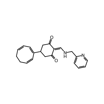 O=C1CC(C2=C/C=C\CC/C=C\2)CC(=O)C1=CNCc1ccccn1